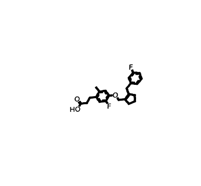 Cc1cc(OCC2=C(Cc3cccc(F)c3)CCC2)c(F)cc1CCC(=O)O